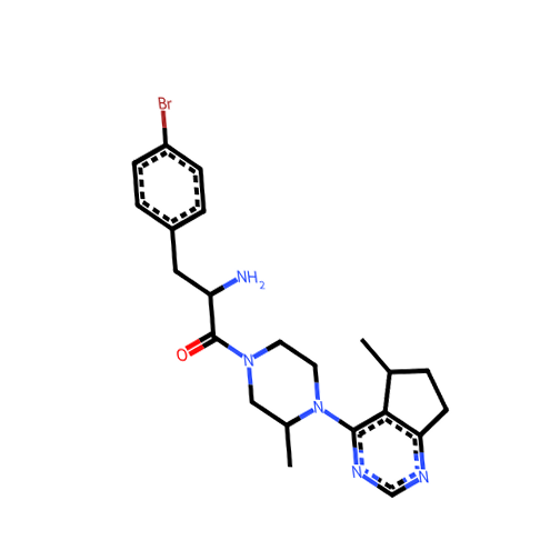 CC1CCc2ncnc(N3CCN(C(=O)C(N)Cc4ccc(Br)cc4)CC3C)c21